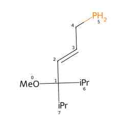 COC(C=CCP)(C(C)C)C(C)C